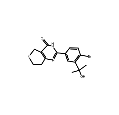 CC(C)(O)c1cc(-c2nc3c(c(=O)[nH]2)CSCC3)ccc1Br